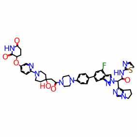 O=C1CCC(Oc2ccc(N3CCC(O)(CC(=O)N4CCN(c5ccc(-c6cc(F)c7cn(C(C(=O)Nc8nccs8)c8ncn9c8CCC9)nc7c6)cc5)CC4)CC3)nc2)C(=O)N1